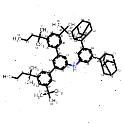 CCCC(C)(C)c1cc(-c2cc(Nc3cc(C4C5CC6CC(C5)CC4C6)cc(C4C5CC6CC(C5)CC4C6)c3)cc(-c3cc(C(C)(C)C)cc(C(C)(C)CCC)c3)c2)cc(C(C)(C)C)c1